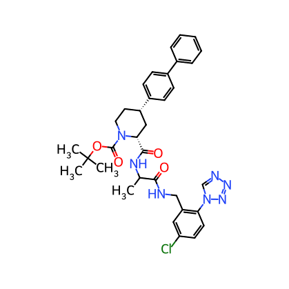 CC(NC(=O)[C@H]1C[C@@H](c2ccc(-c3ccccc3)cc2)CCN1C(=O)OC(C)(C)C)C(=O)NCc1cc(Cl)ccc1-n1cnnn1